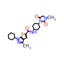 Cc1nn(C2CCCCC2)c2sc(C(=O)NC3CCC(N4C(=O)CN(C)C4=O)CC3)cc12